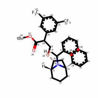 CC(c1ccccc1)N1[C@@H]2CCC[C@]1(c1ccccc1)C[C@H]2OCC(C(=O)OC(C)(C)C)c1cc(C(F)(F)F)cc(C(F)(F)F)c1